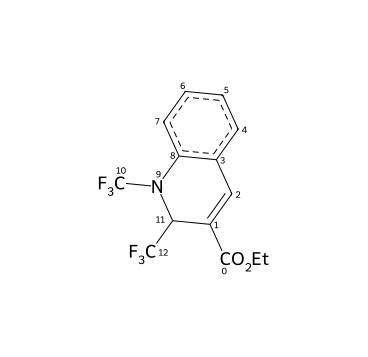 CCOC(=O)C1=Cc2ccccc2N(C(F)(F)F)C1C(F)(F)F